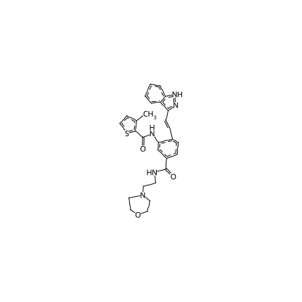 Cc1ccsc1C(=O)Nc1cc(C(=O)NCCN2CCOCC2)ccc1/C=C/c1n[nH]c2ccccc12